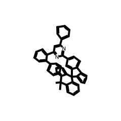 CC1(C)c2ccccc2C2(c3ccccc3-c3ccc(-c4nc(-c5ccccc5)cc(-c5ccccc5-c5ccccc5)n4)cc32)c2ccccc21